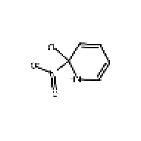 O=[N+]([O-])C1(Cl)C=CC=[C]N1